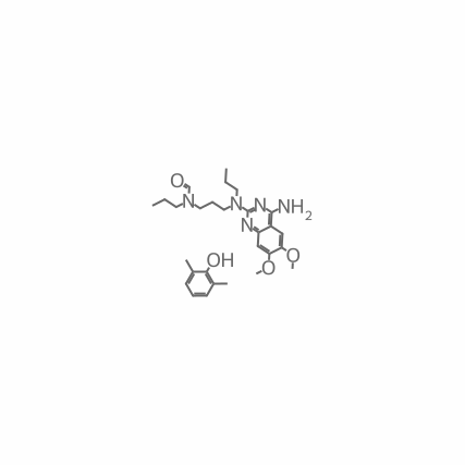 CCCN(C=O)CCCN(CCC)c1nc(N)c2cc(OC)c(OC)cc2n1.Cc1cccc(C)c1O